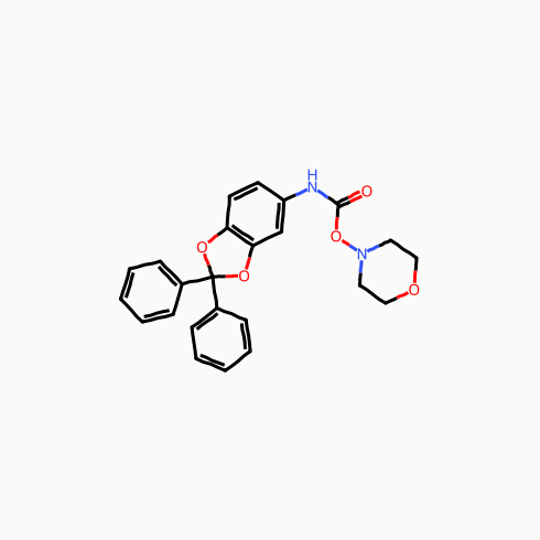 O=C(Nc1ccc2c(c1)OC(c1ccccc1)(c1ccccc1)O2)ON1CCOCC1